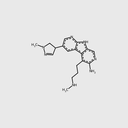 CNCCCc1c(N)ncc2[nH]c3ncc(C4C=NN(C)C4)cc3c12